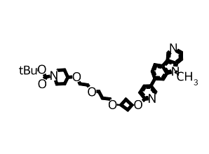 Cn1c2ccncc2c2ccc(-c3ccc(O[C@H]4C[C@H](OCCCOCCOC5CCN(C(=O)OC(C)(C)C)CC5)C4)nc3)cc21